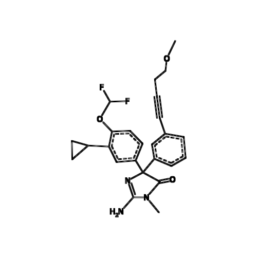 COCCC#Cc1cccc(C2(c3ccc(OC(F)F)c(C4CC4)c3)N=C(N)N(C)C2=O)c1